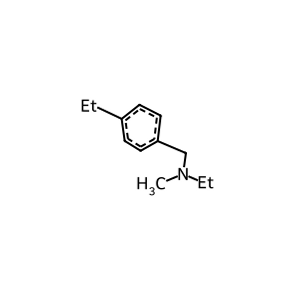 CCc1ccc(CN(C)CC)cc1